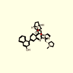 CN1CCC[C@H]1COc1nc(N2C[C@H]3CC[C@@H](C2)N3C(=O)CCn2ccnc2)c2ccc(-c3cc(O)cc4ccccc34)cc2n1